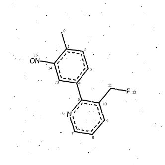 Cc1ccc(-c2ncccc2CF)cc1N=O